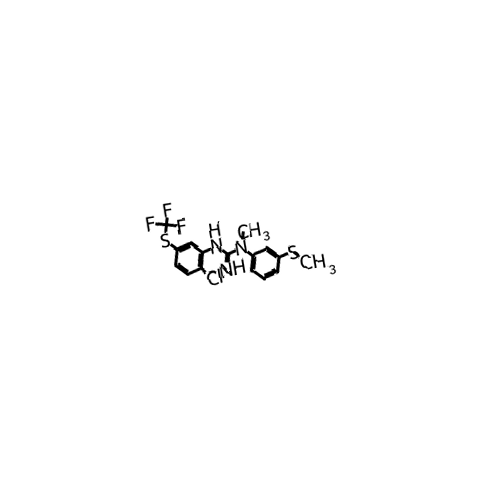 CSc1cccc(N(C)C(=N)Nc2cc(SC(F)(F)F)ccc2Cl)c1